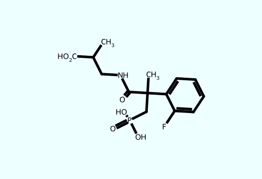 CC(CNC(=O)C(C)(CP(=O)(O)O)c1ccccc1F)C(=O)O